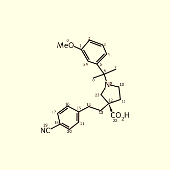 COc1cccc(C(C)(C)N2CC[C@@](CCc3ccc(C#N)cc3)(C(=O)O)C2)c1